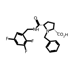 O=C(O)[C@H]1CC[C@@H](C(=O)NCc2cc(F)cc(F)c2F)N1Cc1ccccc1